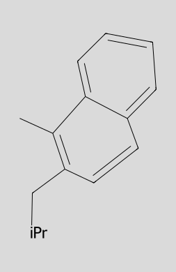 Cc1c(CC(C)C)ccc2ccccc12